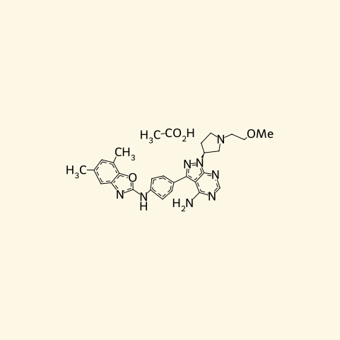 CC(=O)O.COCCN1CC[C@H](n2nc(-c3ccc(Nc4nc5cc(C)cc(C)c5o4)cc3)c3c(N)ncnc32)C1